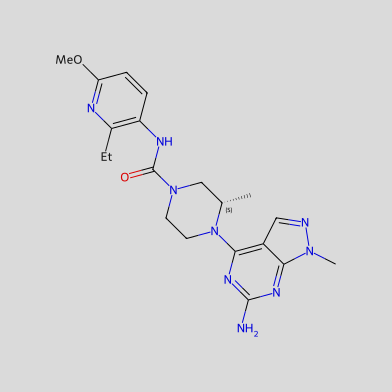 CCc1nc(OC)ccc1NC(=O)N1CCN(c2nc(N)nc3c2cnn3C)[C@@H](C)C1